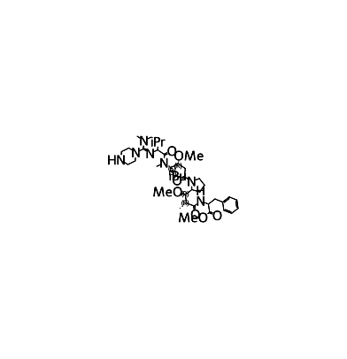 CC[C@H](C)[C@@H]([C@@H](CC(=O)N1CCCC1[C@H](OC)[C@@H](C)C(=O)NC(Cc1ccccc1)C(=O)OC)OC)N(C)C(=O)C(N=C(N(C)C)N1CCNCC1)C(C)C